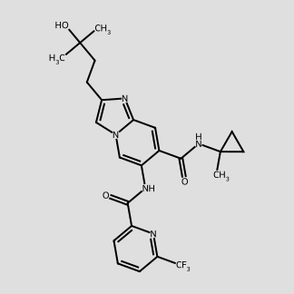 CC(C)(O)CCc1cn2cc(NC(=O)c3cccc(C(F)(F)F)n3)c(C(=O)NC3(C)CC3)cc2n1